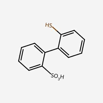 O=S(=O)(O)c1ccccc1-c1ccccc1S